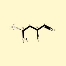 B[C@@H](C)C[C@H](F)C=O